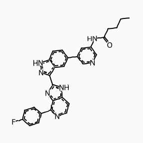 CCCCC(=O)Nc1cncc(-c2ccc3[nH]nc(-c4nc5c(-c6ccc(F)cc6)nccc5[nH]4)c3c2)c1